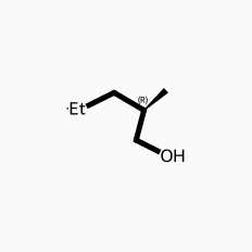 C[CH]C[C@@H](C)CO